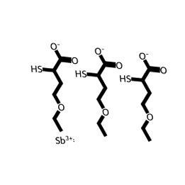 CCOCCC(S)C(=O)[O-].CCOCCC(S)C(=O)[O-].CCOCCC(S)C(=O)[O-].[Sb+3]